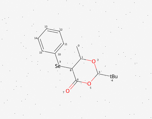 CC1OC(C(C)(C)C)OC(=O)C1[Se]c1ccccc1